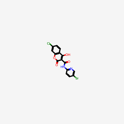 O=C(Nc1ccc(Br)cn1)c1c(O)c2ccc(Cl)cc2oc1=O